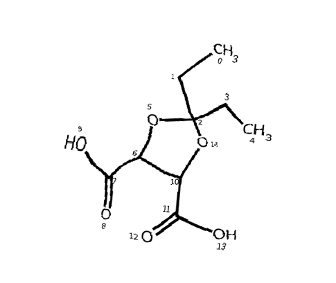 CCC1(CC)OC(C(=O)O)C(C(=O)O)O1